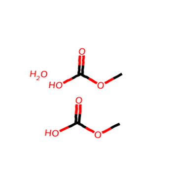 COC(=O)O.COC(=O)O.O